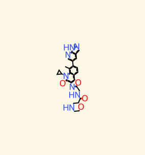 Cc1c(-c2cnc3[nH]ncc3c2)ccc2c3oc(CNC(=O)C4CNCCO4)nc3c(=O)n(C3CC3)c12